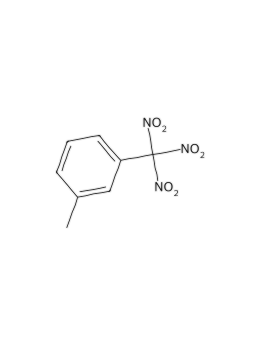 Cc1cccc(C([N+](=O)[O-])([N+](=O)[O-])[N+](=O)[O-])c1